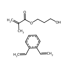 C=C(C)C(=O)OCCCO.C=Cc1ccccc1C=C